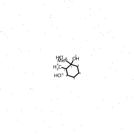 CNC1(O)CCCCC1C.Cl.Cl